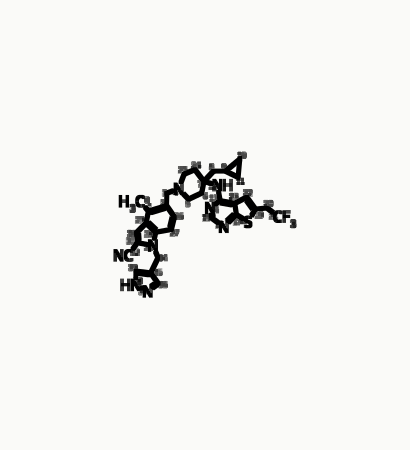 Cc1c(CN2CCC(CC3CC3)(Nc3ncnc4sc(CC(F)(F)F)cc34)CC2)ccc2c1cc(C#N)n2Cc1cn[nH]c1